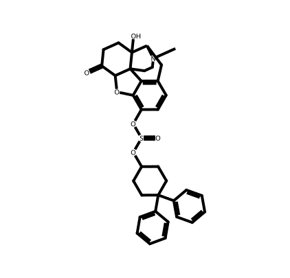 CN1CCC23c4c5ccc(OS(=O)OC6CCC(c7ccccc7)(c7ccccc7)CC6)c4OC2C(=O)CCC3(O)C1C5